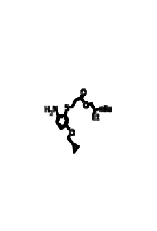 CCCCC(CC)COC(=O)CCSc1cc(OCC2CC2)ccc1N